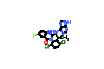 CC[C@H](Nc1ncnc2[nH]cnc12)c1nc2ccc(F)cc2c(=O)n1-c1cc(Cl)ccc1Cl